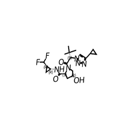 CC(C)(C)[C@@H](C(=O)N1C[C@H](O)C[C@H]1C(=O)N[C@@H]1C[C@H]1C(F)F)n1cc(C2CC2)nn1